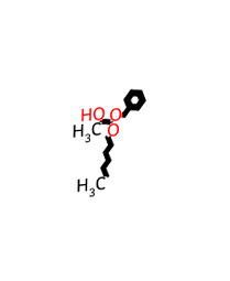 CCCCCCCOC(OCc1ccccc1)C(C)O